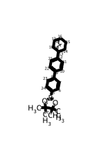 CC1(C)OB(c2ccc(-c3ccc(C45CCC(CC4)CC5)cc3)cc2)OC1(C)C